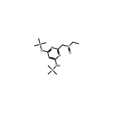 CC[Si](=O)Cc1nc(N[Si](C)(C)C)cc(O[Si](C)(C)C)n1